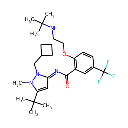 Cn1c(C(C)(C)C)cc(=NC(=O)c2cc(C(F)(F)F)ccc2OCCNC(C)(C)C)n1CC1CCC1